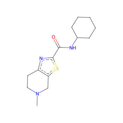 CN1CCc2nc(C(=O)NC3CCCCC3)sc2C1